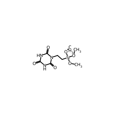 CO[Si](CCn1c(=O)[nH]c(=O)[nH]c1=O)(OC)OC